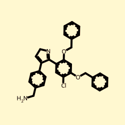 NCc1ccc(C2=CCN=C2c2cc(Cl)c(OCc3ccccc3)cc2OCc2ccccc2)cc1